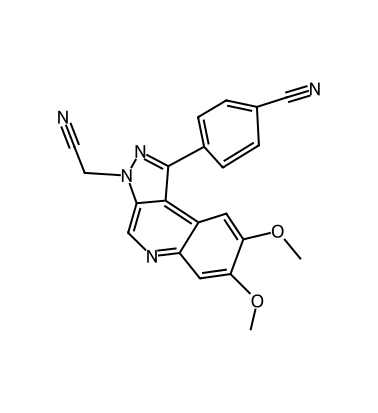 COc1cc2ncc3c(c(-c4ccc(C#N)cc4)nn3CC#N)c2cc1OC